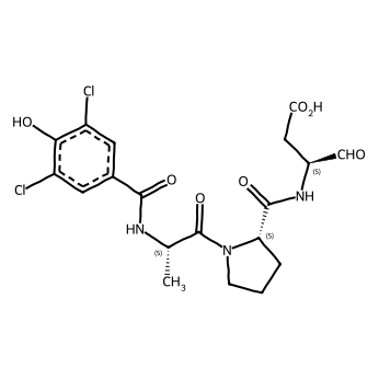 C[C@H](NC(=O)c1cc(Cl)c(O)c(Cl)c1)C(=O)N1CCC[C@H]1C(=O)N[C@H](C=O)CC(=O)O